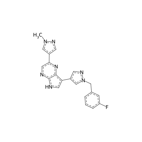 Cn1cc(-c2cnc3[nH]cc(-c4cnn(Cc5cccc(F)c5)c4)c3n2)cn1